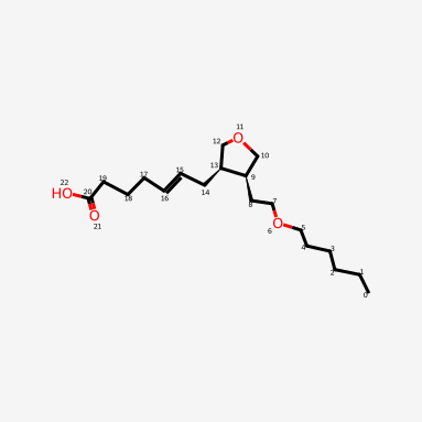 CCCCCCOCC[C@@H]1COC[C@@H]1CC=CCCCC(=O)O